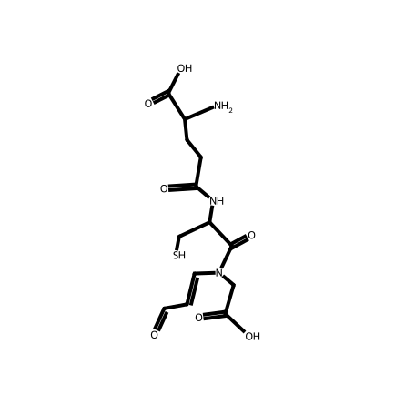 NC(CCC(=O)NC(CS)C(=O)N(C=CC=O)CC(=O)O)C(=O)O